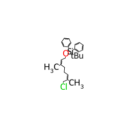 CC(=CCCC(C)=CCO[Si](c1ccccc1)(c1ccccc1)C(C)(C)C)CCl